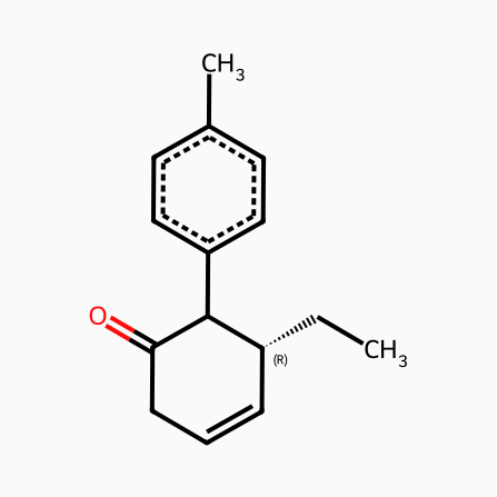 CC[C@@H]1C=CCC(=O)C1c1ccc(C)cc1